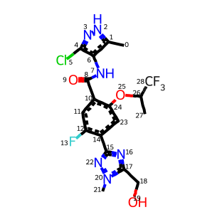 Cc1[nH]nc(Cl)c1NC(=O)c1cc(F)c(-c2nc(CO)n(C)n2)cc1OC(C)C(F)(F)F